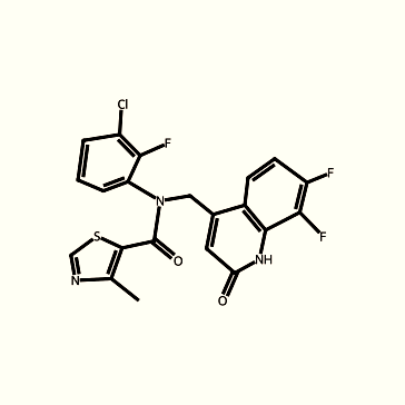 Cc1ncsc1C(=O)N(Cc1cc(=O)[nH]c2c(F)c(F)ccc12)c1cccc(Cl)c1F